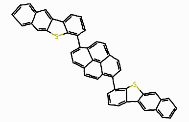 c1ccc2cc3c(cc2c1)sc1c(-c2ccc4ccc5c(-c6cccc7c6sc6cc8ccccc8cc67)ccc6ccc2c4c65)cccc13